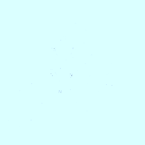 c1ccc(-c2nc(-c3ccc4ccccc4c3)nc(-c3cccc4oc5cccc(-c6cccc7sc8ccccc8c67)c5c34)n2)cc1